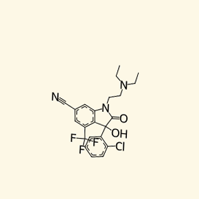 CCN(CC)CCN1C(=O)C(O)(c2ccccc2Cl)c2c1cc(C#N)cc2C(F)(F)F